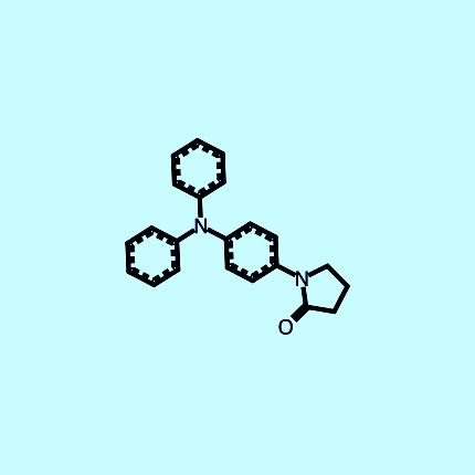 O=C1CCCN1c1ccc(N(c2ccccc2)c2ccccc2)cc1